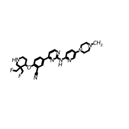 CN1CCN(c2ccc(Nc3nccc(-c4ccc(OC5CCNCC5(CF)CF)c(C#N)c4)n3)nc2)CC1